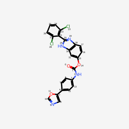 O=C(Nc1ccc(-c2cnco2)cc1)Oc1ccc2nc(-c3c(Cl)cccc3Cl)[nH]c2c1